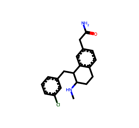 CNC1CCc2ccc(CC(N)=O)cc2C1Cc1cccc(Cl)c1